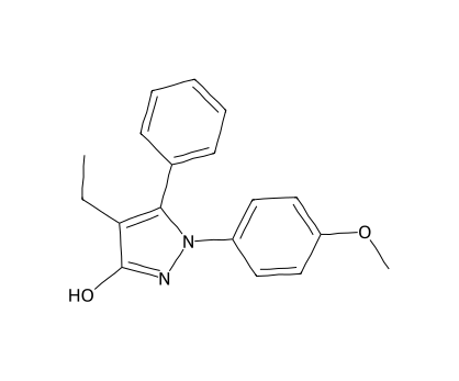 CCc1c(O)nn(-c2ccc(OC)cc2)c1-c1ccccc1